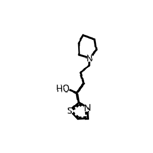 OC(CCCN1CCCCC1)c1nccs1